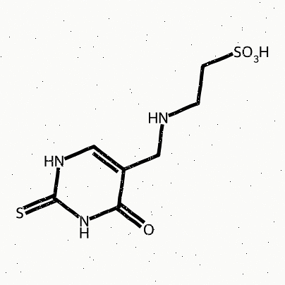 O=c1[nH]c(=S)[nH]cc1CNCCS(=O)(=O)O